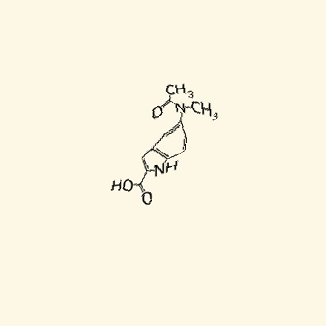 CC(=O)N(C)c1ccc2[nH]c(C(=O)O)cc2c1